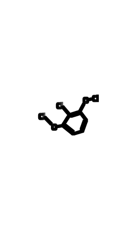 ClOc1cccc(OCl)c1Cl